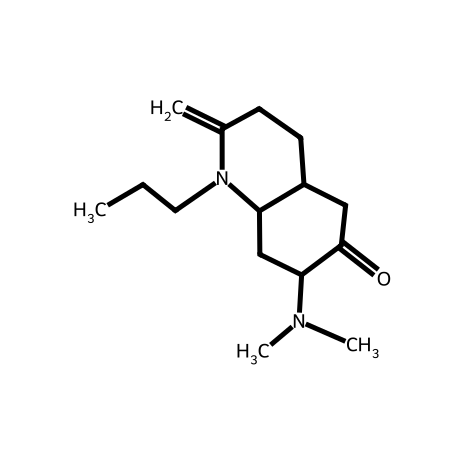 C=C1CCC2CC(=O)C(N(C)C)CC2N1CCC